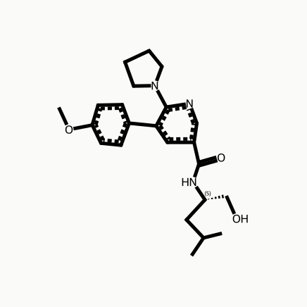 COc1ccc(-c2cc(C(=O)N[C@H](CO)CC(C)C)cnc2N2CCCC2)cc1